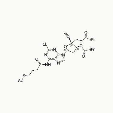 C#C[C@]1(COC(=O)C(C)C)O[C@@H](n2cnc3c(NC(=O)CCCSC(C)=O)nc(Cl)nc32)C[C@@H]1OC(=O)C(C)C